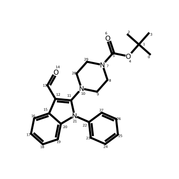 CC(C)(C)OC(=O)N1CCN(c2c(C=O)c3ccccc3n2-c2ccccc2)CC1